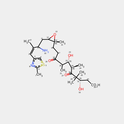 CC(=Cc1csc(C)n1)C(N)CC1O[C@]1(C)CCC(=O)C(C)[C@H](O)[C@@H](C)C(=O)C(C)(C)[C@@H](O)CC(=O)O